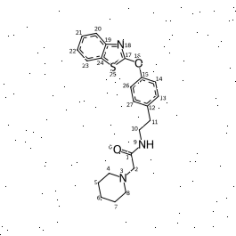 O=C(CN1CC[CH]CC1)NCCc1ccc(Oc2nc3ccccc3s2)cc1